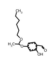 CCCCCCOC(C)Oc1ccc(C=O)c(O)c1